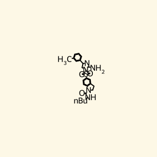 CCCCNC(=O)N1CCc2cc(S(=O)(=O)N3CC(c4cccc(C)c4)N=C3N)ccc21